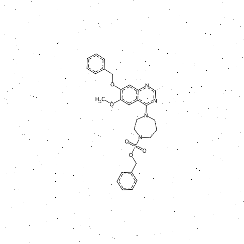 COc1cc2c(N3CCCN(S(=O)(=O)OCc4ccccc4)CC3)ncnc2cc1OCc1ccccc1